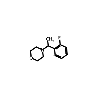 CC(c1[c]cccc1F)N1CCOCC1